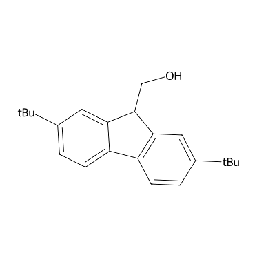 CC(C)(C)c1ccc2c(c1)C(CO)c1cc(C(C)(C)C)ccc1-2